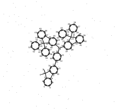 CC1(C)c2ccccc2-c2ccc(-c3ccc(N(c4ccc5c(c4)C(c4ccccc4)(c4ccccc4)c4ccccc4-5)c4ccc5c(c4)C(c4ccccc4)(c4ccccc4)c4ccccc4-5)cc3)cc21